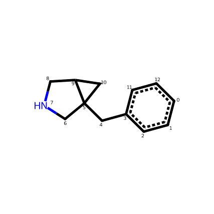 c1ccc(CC23CNCC2C3)cc1